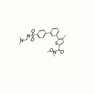 CON(C)C(=O)c1cc(C)c(-c2cccc(-c3ccc(S(=O)(=O)/N=C/N(C)C)cc3)c2)s1